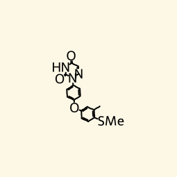 CSc1ccc(Oc2ccc(-n3ncc(=O)[nH]c3=O)cc2)cc1C